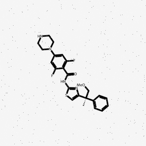 COC[C@@](C)(c1ccccc1)c1csc(NC(=O)c2c(F)cc(N3CCNCC3)cc2F)n1